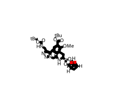 COc1c(CC(NC(=O)Cn2nnc(CNC(=O)OC(C)(C)C)c2C)B2O[C@@H]3C[C@@H]4C[C@@H](C4(C)C)[C@]3(C)O2)cccc1C(=O)OC(C)(C)C